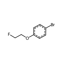 FCCOc1ccc(Br)cc1